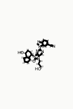 N#Cc1ccc2ncn(-c3ncc4c(n3)n(C3CC[C@@H](O)c5ccccc53)c(=O)n4CCCO)c2c1